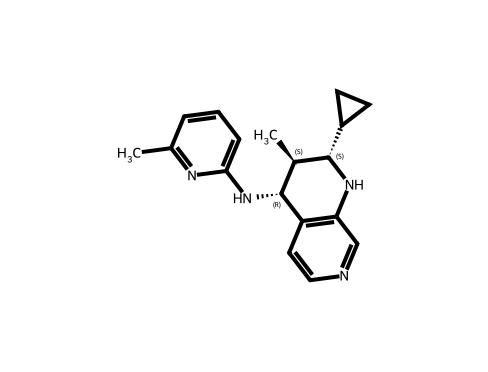 Cc1cccc(N[C@H]2c3ccncc3N[C@@H](C3CC3)[C@@H]2C)n1